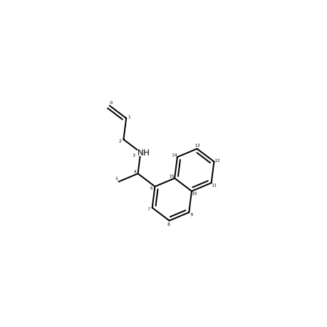 C=CCNC(C)c1cccc2ccccc12